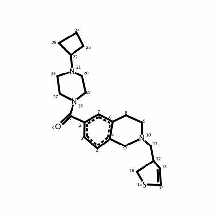 O=C(c1ccc2c(c1)CCN(CC1C=CSC1)C2)N1CCN(C2CCC2)CC1